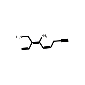 C#CC/C=C\C(N)=C(/C=C)CN